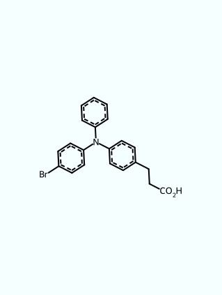 O=C(O)CCc1ccc(N(c2ccccc2)c2ccc(Br)cc2)cc1